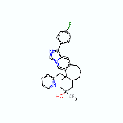 OC1(C(F)(F)F)CCC2(Cc3ccccn3)c3cn4cnc(-c5ccc(F)cc5)c4cc3CCCC2C1